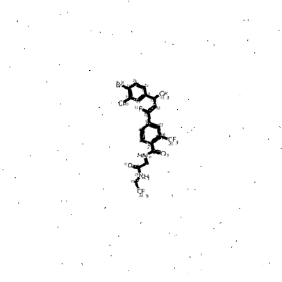 O=C(CNC(=O)c1ccc(C(F)=CC(c2ccc(Br)c(Cl)c2)C(F)(F)F)cc1C(F)(F)F)NCC(F)(F)F